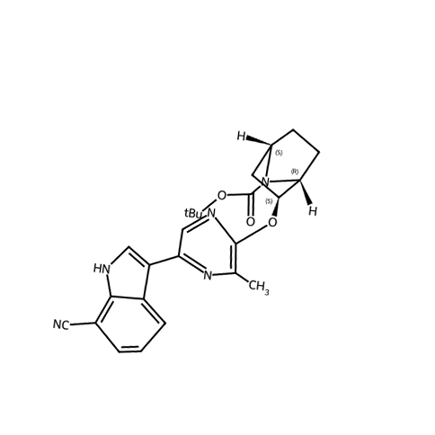 Cc1nc(-c2c[nH]c3c(C#N)cccc23)cnc1O[C@H]1C[C@@H]2CC[C@H]1N2C(=O)OC(C)(C)C